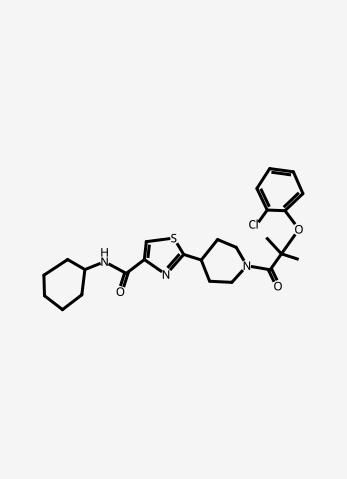 CC(C)(Oc1ccccc1Cl)C(=O)N1CCC(c2nc(C(=O)NC3CCCCC3)cs2)CC1